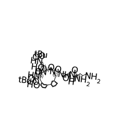 CN1C(=O)[C@H](C[C@@H](O)CNC(=O)OC(C)(C)C)NC(=O)[C@@H](NC(=O)OC(C)(C)C)Cc2cc(ccc2O)-c2cccc(c2)C[C@H]1C(=O)NCC(O)CNC(=O)[C@@H](N)CCCN